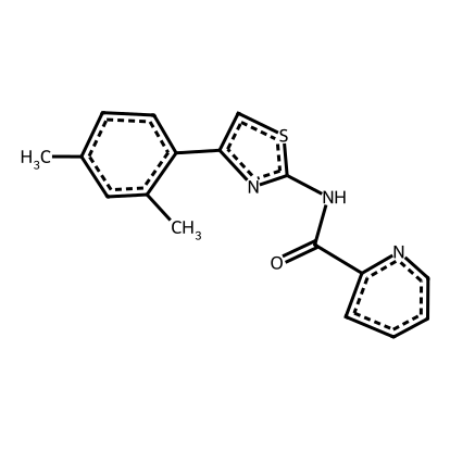 Cc1ccc(-c2csc(NC(=O)c3ccccn3)n2)c(C)c1